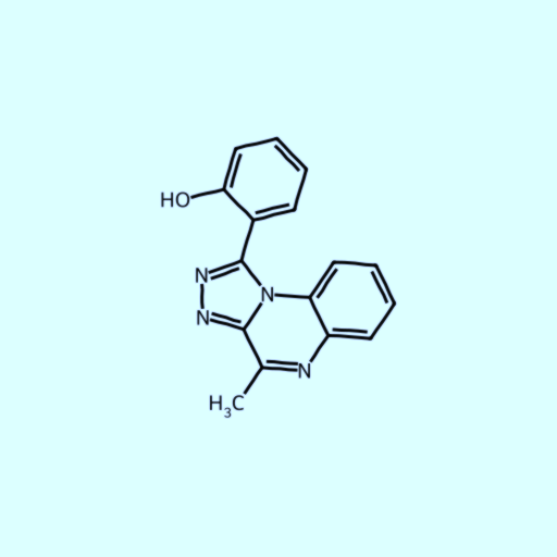 Cc1nc2ccccc2n2c(-c3ccccc3O)nnc12